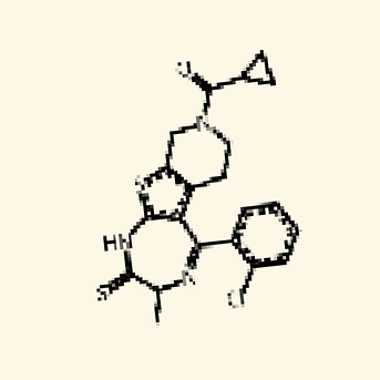 CC1N=C(c2ccccc2Cl)c2c(sc3c2CCN(C(=O)C2CC2)C3)NC1=S